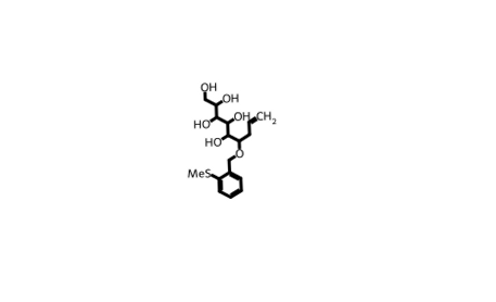 C=CCC(OCc1ccccc1SC)C(O)C(O)C(O)C(O)CO